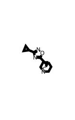 C1CC1c1noc(C2CN3CCC2CC3)n1